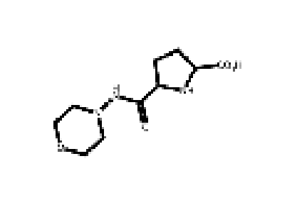 O=C(O)C1CCC(C(=O)NN2CCOCC2)N1